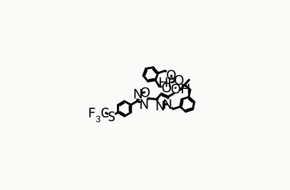 Cc1cc(-c2nc(-c3ccc(SC(F)(F)F)cc3)no2)nn1Cc1cccc(CC(C)(C)O[PH]2(O)OCc3ccccc3CO2)c1